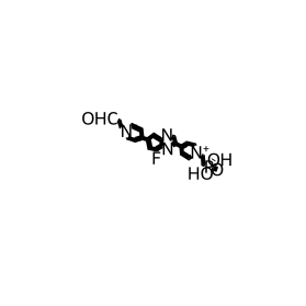 O=CCC[n+]1ccc(-c2cc(F)c3nc(-c4cc[n+](CCP(=O)(O)O)cc4)cnc3c2)cc1